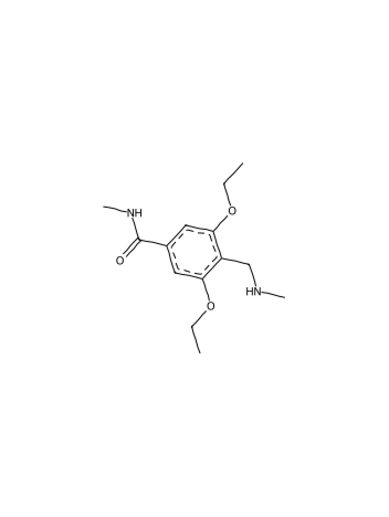 CCOc1cc(C(=O)NC)cc(OCC)c1CNC